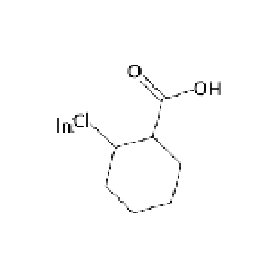 O=C(O)C1CCCCC1Cl.[In]